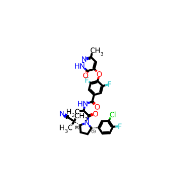 Cc1cc(Oc2c(F)cc(C(=O)NC(C)C(=O)N3[C@H](c4ccc(F)c(Cl)c4)CC[C@@H]3C(C)(C)C#N)cc2F)c(=O)[nH]n1